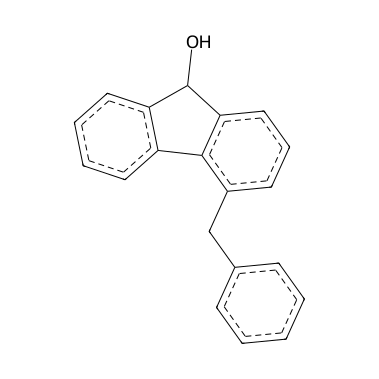 OC1c2ccccc2-c2c(Cc3ccccc3)cccc21